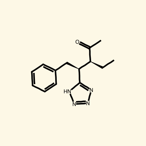 CC[C@H](C(C)=O)[C@H](Cc1ccccc1)c1nnn[nH]1